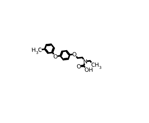 CCN(CCOc1ccc(Oc2cccc(C)c2)cc1)C(=O)O